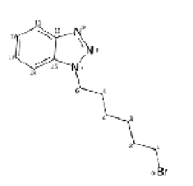 BrCCCCCCn1nnc2ccccc21